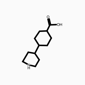 O=C(O)C1CCC(C2CCNCC2)CC1